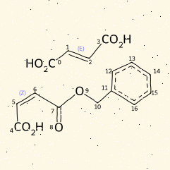 O=C(O)/C=C/C(=O)O.O=C(O)/C=C\C(=O)OCc1ccccc1